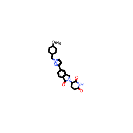 COC1CCC(Cn2ccc(-c3ccc4c(c3)CN(C3CCC(=O)NC3=O)C4=O)n2)CC1